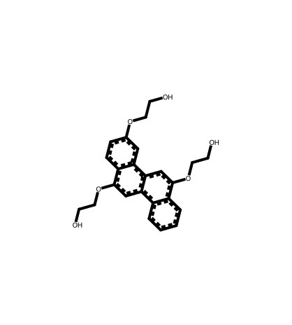 OCCOc1ccc2c(OCCO)cc3c4ccccc4c(OCCO)cc3c2c1